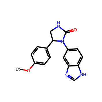 CCOc1ccc(C2CNC(=O)N2c2ccc3[nH]cnc3c2)cc1